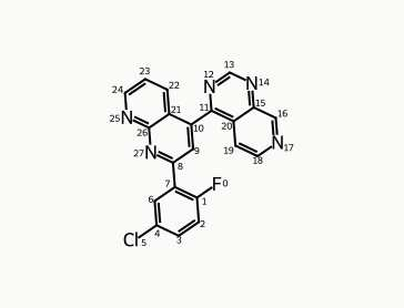 Fc1ccc(Cl)cc1-c1cc(-c2ncnc3cnccc23)c2cccnc2n1